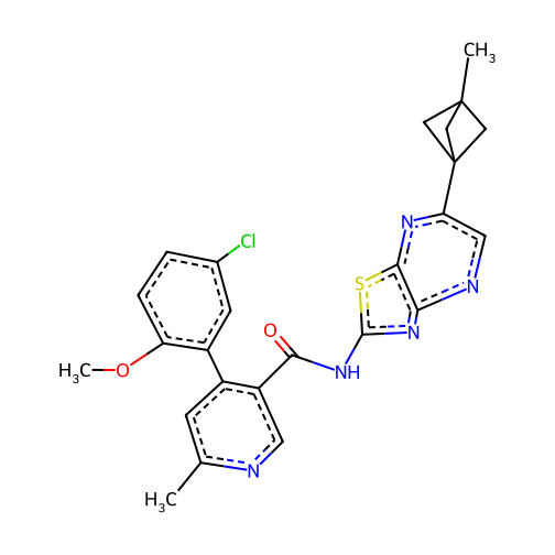 COc1ccc(Cl)cc1-c1cc(C)ncc1C(=O)Nc1nc2ncc(C34CC(C)(C3)C4)nc2s1